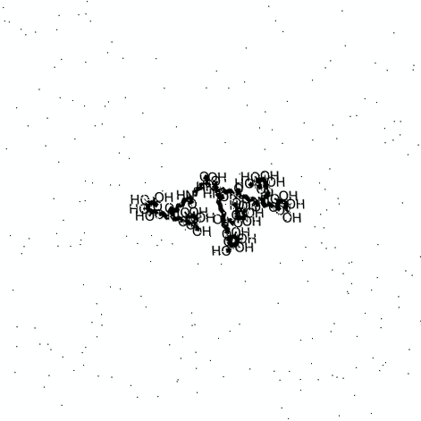 O=C(CCCCC(=O)N(CCO[C@H]1O[C@H](CO)[C@@H](O)[C@H](O)[C@@H]1O)CCO[C@H]1O[C@H](CO)[C@@H](O)[C@H](O)[C@@H]1O)NCCCC[C@H](NC(=O)[C@H](CCCNC(=O)CCCCC(=O)N(CCO[C@H]1O[C@H](CO)[C@@H](O)[C@H](O)[C@@H]1O)CCO[C@H]1O[C@H](CO)[C@@H](O)[C@H](O)[C@@H]1O)NC(=O)CCCCC(=O)N(CCO[C@H]1O[C@H](CO)[C@@H](O)[C@H](O)[C@@H]1O)CCO[C@H]1O[C@H](CO)[C@@H](O)[C@H](O)[C@@H]1O)C(=O)O